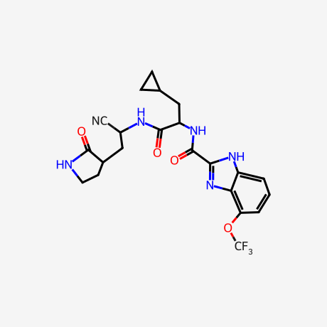 N#CC(CC1CCNC1=O)NC(=O)C(CC1CC1)NC(=O)c1nc2c(OC(F)(F)F)cccc2[nH]1